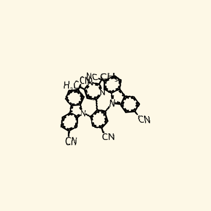 Cc1cc(-c2c(-n3c4cc(C#N)ccc4c4ccc(C#N)cc43)cc(C#N)cc2-n2c3cc(C#N)ccc3c3ccc(C#N)cc32)nc(C)n1